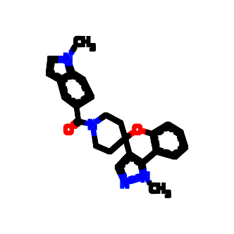 Cn1ncc2c1-c1ccccc1OC21CCN(C(=O)c2ccc3c(ccn3C)c2)CC1